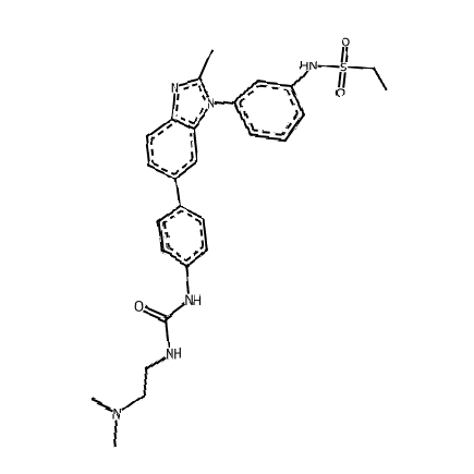 CCS(=O)(=O)Nc1cccc(-n2c(C)nc3ccc(-c4ccc(NC(=O)NCCN(C)C)cc4)cc32)c1